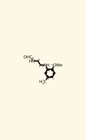 COc1ccc(C)cc1NCCNC=O